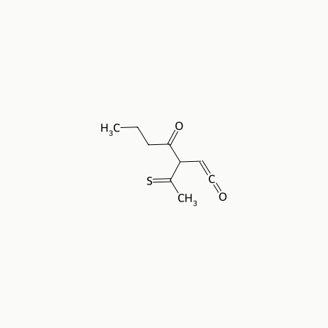 CCCC(=O)C(C=C=O)C(C)=S